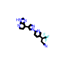 N#CCC(c1ccc(-n2cc(-c3ccnc4[nH]cnc34)cn2)nc1)C(F)(F)F